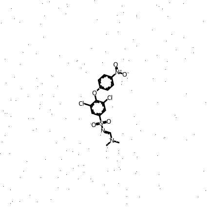 CN(C)C=NS(=O)(=O)c1cc(Cl)c(Oc2ccc([N+](=O)[O-])cc2)c(Cl)c1